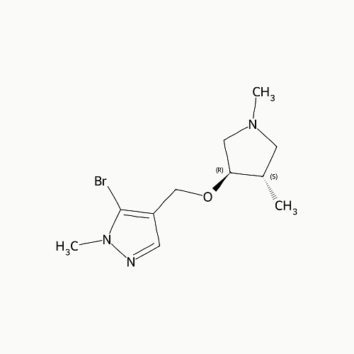 C[C@H]1CN(C)C[C@@H]1OCc1cnn(C)c1Br